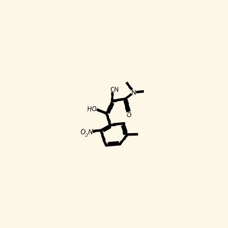 Cc1ccc([N+](=O)[O-])c(C(O)=C(C#N)C(=O)N(C)C)c1